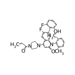 C=CC(=O)N1CCN(c2cc(=O)n(-c3c(C)cccc3C)c3cc(-c4c(O)cccc4F)c(F)cc23)CC1